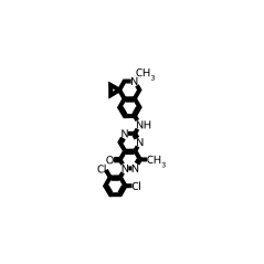 Cc1nn(-c2c(Cl)cccc2Cl)c(=O)c2cnc(Nc3ccc4c(c3)CN(C)CC43CC3)nc12